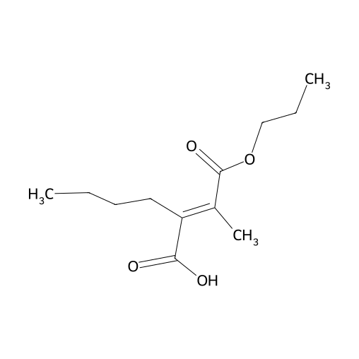 CCCCC(C(=O)O)=C(C)C(=O)OCCC